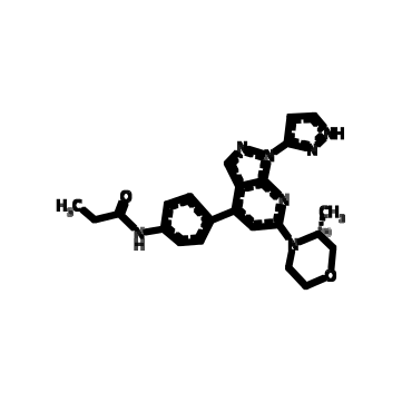 CCC(=O)Nc1ccc(-c2cc(N3CCOC[C@H]3C)nc3c2cnn3-c2cc[nH]n2)cc1